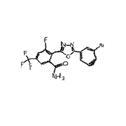 NC(=O)c1cc(C(F)(F)F)cc(F)c1-c1nnc(-c2cccc(Br)c2)o1